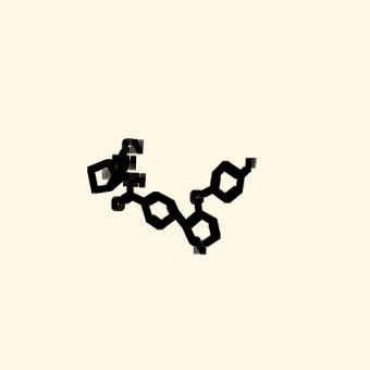 N#CN1CC2CCC1[C@@H]2NC(=O)c1ccc(-c2cnccc2Oc2ccc(F)cc2)cc1